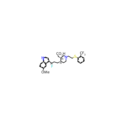 COc1ccc2nccc([C@@H](F)CC[C@@H]3CCN(CCSc4ccccc4C(F)(F)F)C[C@@H]3CC(=O)O)c2c1